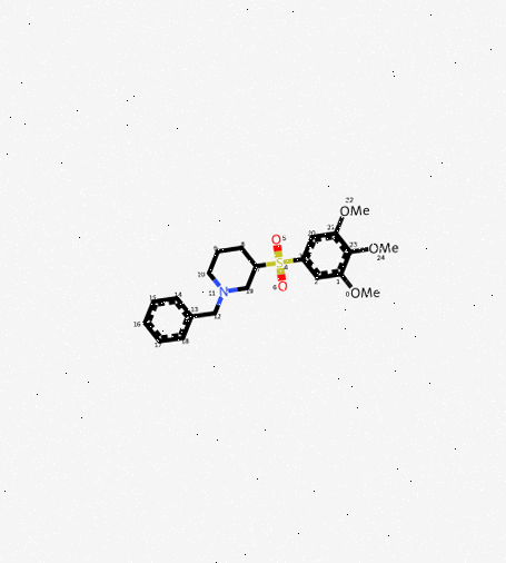 COc1cc(S(=O)(=O)C2CCCN(Cc3ccccc3)C2)cc(OC)c1OC